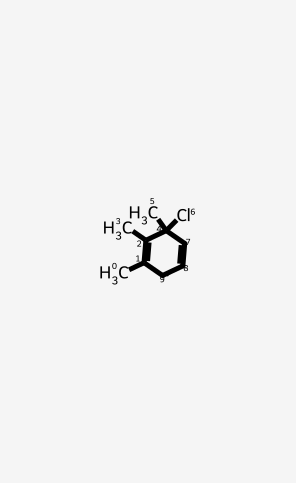 CC1=C(C)C(C)(Cl)C=C[CH]1